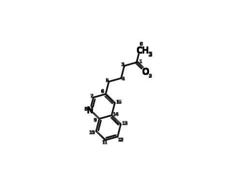 CC(=O)CCCc1cnc2ccccc2c1